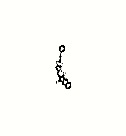 O=C1C(=Cc2cc3oc(C#Cc4ccccc4)nc3s2)C(=O)c2cc3ccccc3cc21